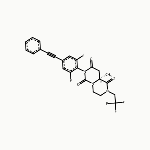 C[C@@]12CC(=O)N(c3c(F)cc(C#Cc4ccccc4)cc3F)C(=O)N1CCN(CC(F)(F)F)C2=O